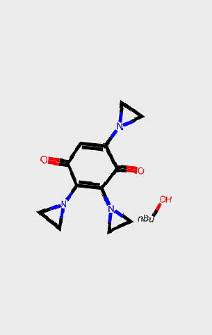 CCCCO.O=C1C=C(N2CC2)C(=O)C(N2CC2)=C1N1CC1